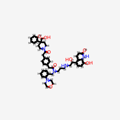 O=C(Cc1ccc(CC(=O)N(CCCNC[C@H](O)c2ccc(O)c3[nH]c(=O)ccc23)Cc2ccccc2N2CCOCC2)cc1)N1CCC(C(=O)O)(c2ccccc2)CC1